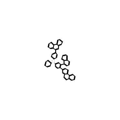 c1ccc(N(c2ccc(-c3cc4ccccc4c4ccccc34)cc2)c2ccc(-c3ccc4c(ccc5ccccc54)c3)c(-c3cccc4ccccc34)c2)cc1